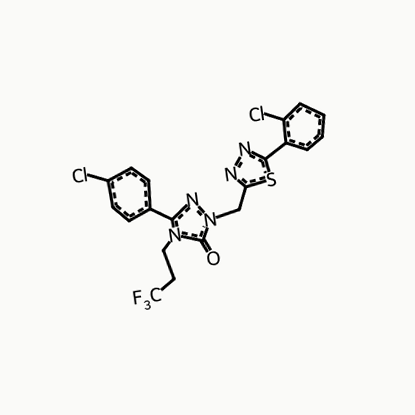 O=c1n(Cc2nnc(-c3ccccc3Cl)s2)nc(-c2ccc(Cl)cc2)n1CCC(F)(F)F